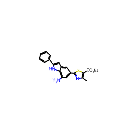 CCOC(=O)c1sc(-c2cc(N)c3[nH]c(-c4ccccc4)cc3c2)nc1C